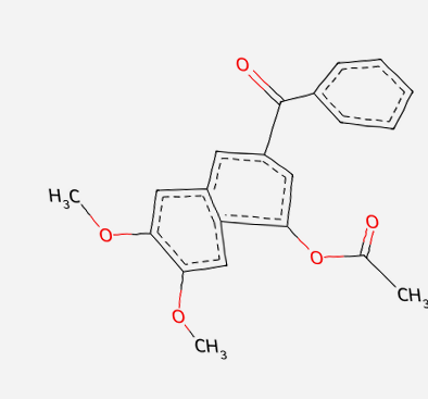 COc1cc2cc(C(=O)c3ccccc3)cc(OC(C)=O)c2cc1OC